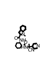 Cn1c(C(=O)N[C@H]2CCCC[C@H]2C(=O)NC(C)(C#N)c2ccncc2)cc2ccccc21